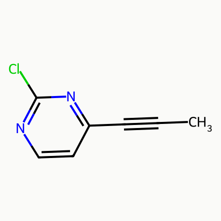 CC#Cc1ccnc(Cl)n1